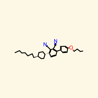 CCCCCCC[C@H]1CC[C@H](c2ccc(-c3ccc(OCCCC)cc3)c(C#N)c2C#N)CC1